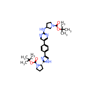 CC(C)(C)OC(=O)N1CCC(Nc2ncc(-c3ccc(-c4c[nH]c([C@@H]5CCCN5C(=O)OC(C)(C)C)n4)cc3)cn2)C1